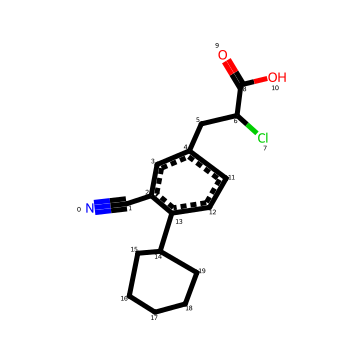 N#Cc1cc(CC(Cl)C(=O)O)ccc1C1CCCCC1